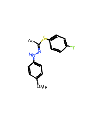 COc1ccc(N/N=C(/Sc2ccc(F)cc2)C(C)=O)cc1